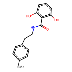 COc1ccc(CCNC(=O)c2c(O)cccc2O)cc1